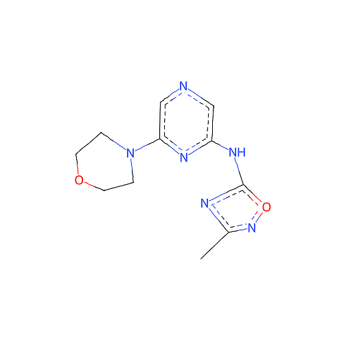 Cc1noc(Nc2cncc(N3CCOCC3)n2)n1